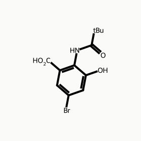 CC(C)(C)C(=O)Nc1c(O)cc(Br)cc1C(=O)O